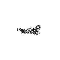 CC(C)(C)OC(=O)CN1CCC2(CCc3c(N=C(c4ccccc4)c4ccccc4)cccc32)CC1